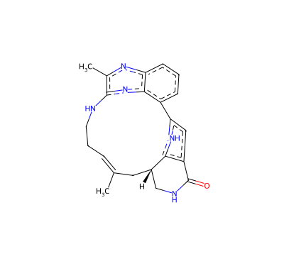 C/C1=C\CCNc2nc3c(cccc3nc2C)-c2cc3c([nH]2)[C@H](CNC3=O)C1